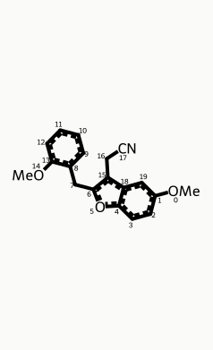 COc1ccc2oc(Cc3ccccc3OC)c(CC#N)c2c1